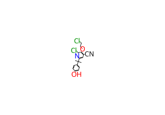 CC(C)(c1ccc(O)cc1)c1cc(C#N)c(OCCCl)c(Cl)n1